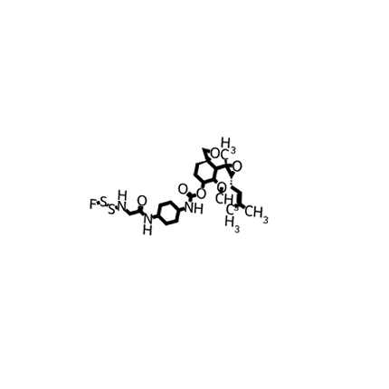 COC1C(OC(=O)NC2CCC(NC(=O)CNSSF)CC2)CC[C@]2(CO2)C1[C@]1(C)O[C@@H]1CC=C(C)C